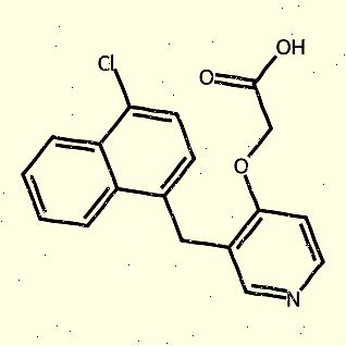 O=C(O)COc1ccncc1Cc1ccc(Cl)c2ccccc12